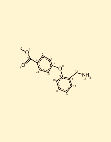 COC(=O)c1ccc(Oc2ccccc2CN)cc1